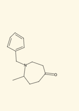 CC1CCC(=O)CCN1Cc1ccccc1